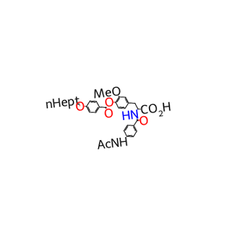 CCCCCCCOc1ccc(C(=O)Oc2ccc(CC(NC(=O)c3ccc(NC(C)=O)cc3)C(=O)O)cc2OC)cc1